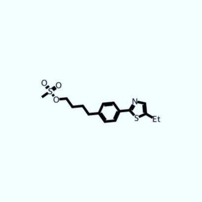 CCc1cnc(-c2ccc(CCCCOS(C)(=O)=O)cc2)s1